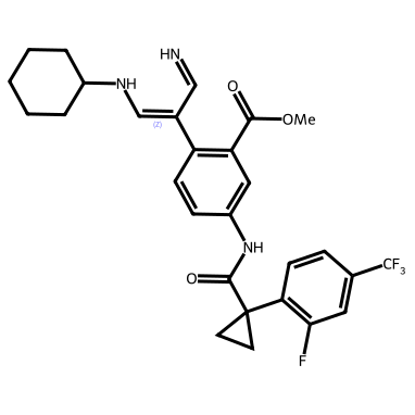 COC(=O)c1cc(NC(=O)C2(c3ccc(C(F)(F)F)cc3F)CC2)ccc1/C(C=N)=C/NC1CCCCC1